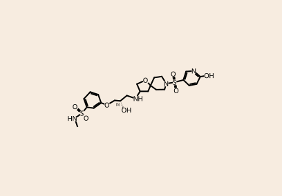 CNS(=O)(=O)c1cccc(OC[C@@H](O)CNC2COC3(CCN(S(=O)(=O)c4ccc(O)nc4)CC3)C2)c1